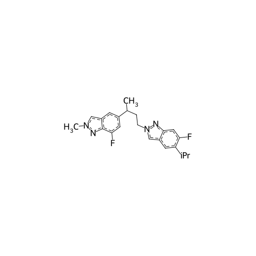 CC(C)c1cc2cn(CCC(C)c3cc(F)c4nn(C)cc4c3)nc2cc1F